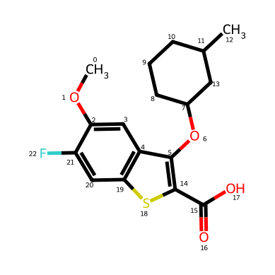 COc1cc2c(OC3CCCC(C)C3)c(C(=O)O)sc2cc1F